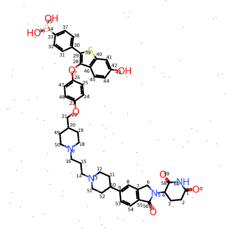 O=C1CCC(N2Cc3cc(C4CCN(CCCN5CCC(COc6ccc(Oc7c(-c8ccc(B(O)O)cc8)sc8cc(O)ccc78)cc6)CC5)CC4)ccc3C2=O)C(=O)N1